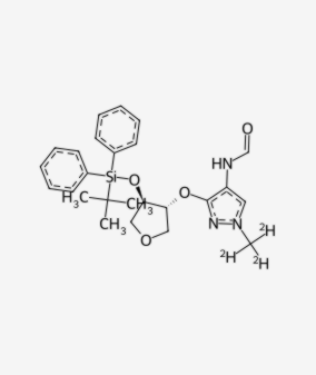 [2H]C([2H])([2H])n1cc(NC=O)c(O[C@@H]2COC[C@H]2O[Si](c2ccccc2)(c2ccccc2)C(C)(C)C)n1